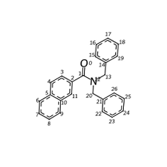 O=C(c1ccc2ccccc2c1)N(Cc1ccccc1)Cc1ccccc1